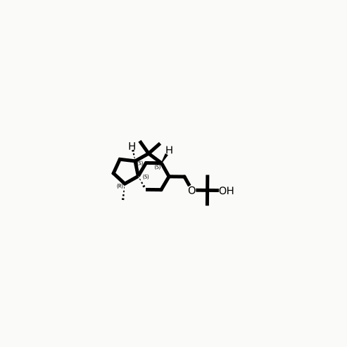 C[C@@H]1CC[C@H]2C(C)(C)[C@H]3C[C@@]12CCC3COC(C)(C)O